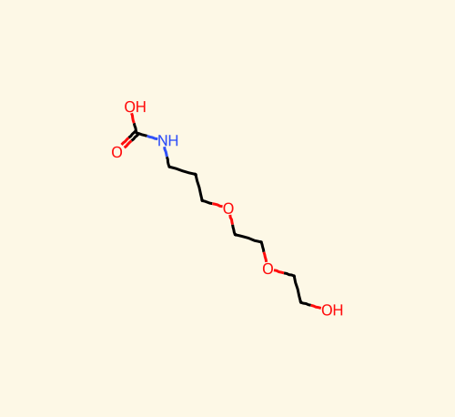 O=C(O)NCCCOCCOCCO